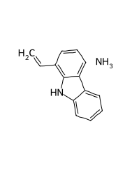 C=Cc1cccc2c1[nH]c1ccccc12.N